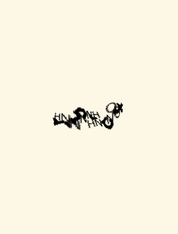 CC(C)(C)OC(=O)N1CCCC(NCCNc2cccc(-c3ncc(C4CC4)[nH]3)n2)C1